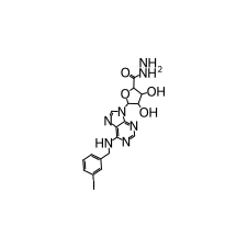 NNC(=O)C1OC(n2cnc3c(NCc4cccc(I)c4)ncnc32)C(O)C1O